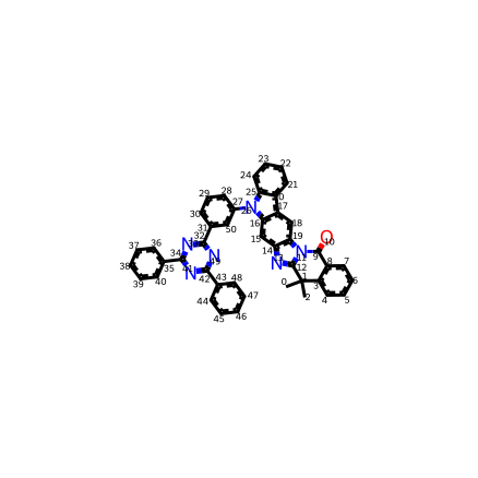 CC1(C)c2ccccc2C(=O)n2c1nc1cc3c(cc12)c1ccccc1n3-c1cccc(-c2nc(-c3ccccc3)nc(-c3ccccc3)n2)c1